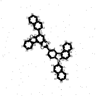 C1=CC2C(C=C1c1nc3cc(-c4ccc5ccccc5c4)c4oc5ccccc5c4c3o1)c1c(ccc3ccccc13)N2c1ccc2ccccc2c1